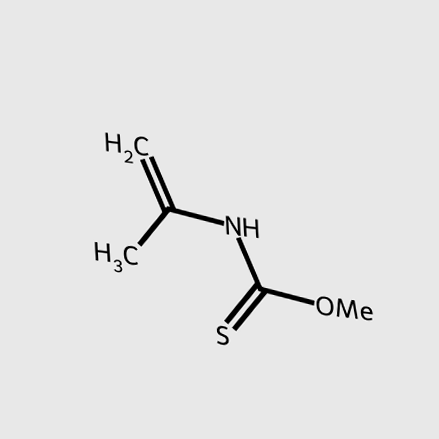 C=C(C)NC(=S)OC